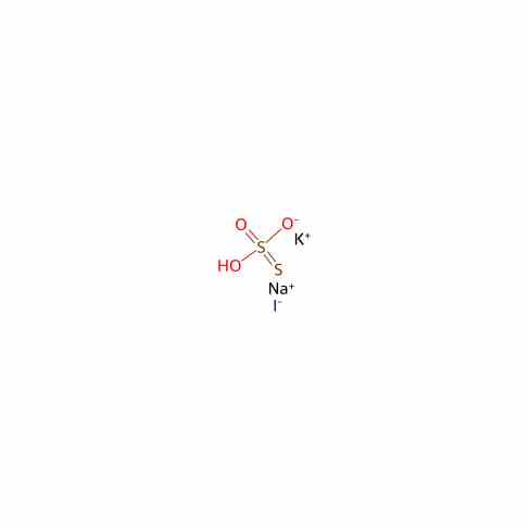 O=S([O-])(O)=S.[I-].[K+].[Na+]